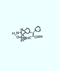 COC(C=O)=C(c1ccccc1)c1ccc2nc(N)n(S(=O)(=O)C(C)C)c2c1